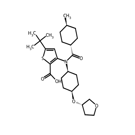 CC(C)(C)c1cc(N(C(=O)[C@H]2CC[C@H](C)CC2)[C@H]2CC[C@@H](O[C@H]3CCOC3)CC2)c(C(=O)O)s1